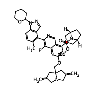 C=C1CN2CC(=C)CC2(COc2nc(N3C[C@H]4CC[C@@H](C3)N4C(=O)OC(C)(C)C)c3cnc(-c4c(C)ccc5c4cnn5C4CCCCO4)c(F)c3n2)C1